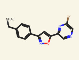 CC(=O)NCc1ccc(-c2cc(-c3[c]ncc(Br)n3)on2)cc1